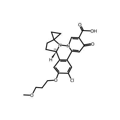 COCCCOc1cc2c(cc1Cl)-c1cc(=O)c(C(=O)O)cn1N1[C@H]2CCC12CC2